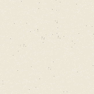 Cc1c(C(N)=O)c(-c2ccc(OCc3ccccc3)cc2)c(-c2cc(C#N)ccc2C(=O)N2Cc3ccccc3CC2CN2CCOCC2)n1C